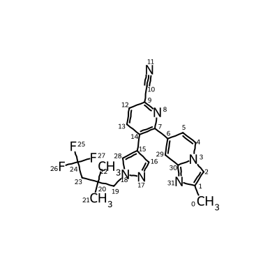 Cc1cn2ccc(-c3nc(C#N)ccc3-c3cnn(CC(C)(C)CC(F)(F)F)c3)cc2n1